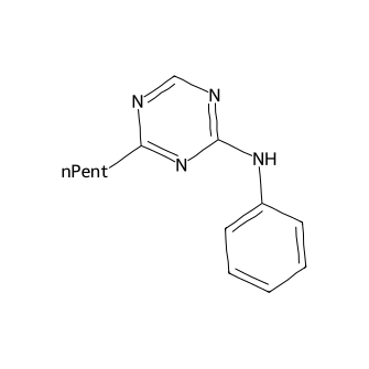 CCCCCc1ncnc(Nc2ccccc2)n1